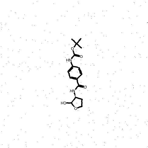 CC(C)(C)OC(=O)Nc1ccc(C(=O)N[C@H]2CCOC2O)cc1